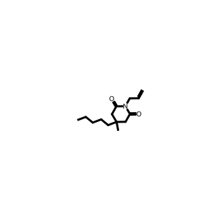 C=CCN1C(=O)CC(C)(CCCCC)CC1=O